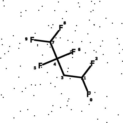 F[C](F)CC(F)(F)C(F)F